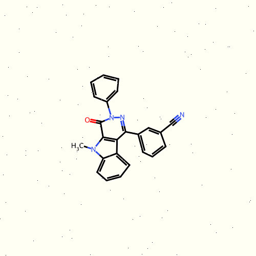 Cn1c2ccccc2c2c(-c3cccc(C#N)c3)nn(-c3ccccc3)c(=O)c21